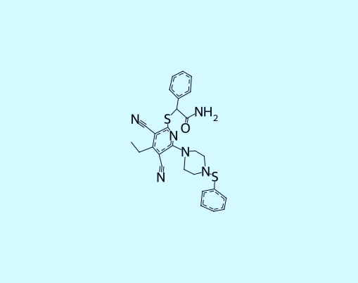 CCc1c(C#N)c(SC(C(N)=O)c2ccccc2)nc(N2CCN(Sc3ccccc3)CC2)c1C#N